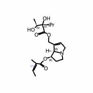 C/C=C(/C)C(=O)O[C@@H]1CCN2CC=C(COC(=O)[C@](O)(C(C)C)[C@H](C)O)[C@H]12